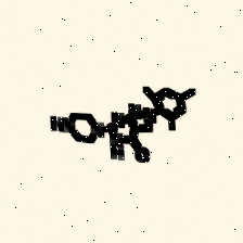 Cc1cc(C)c(-n2cc3c(=O)[nH]c(N4CCNCC4)nc3n2)c(C)c1